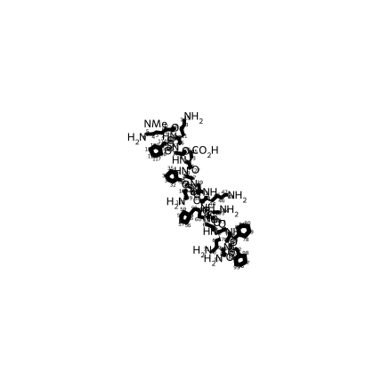 CN[C@@H](CCCCN)C(=O)N[C@@H](CCCCN)CN(CC(=O)N[C@@H](CCC(=O)O)C(=O)N[C@@H](Cc1ccccc1)CN(CC(=O)N[C@@H](CCCCN)C(=O)NC(Cc1ccccc1)CN(CC(=O)N[C@@H](CCCCN)C(=O)N[C@@H](Cc1ccccc1)CN(CC(N)=O)S(=O)(=O)Cc1ccccc1)S(=O)(=O)CCN)S(=O)(=O)CCN)S(=O)(=O)Cc1ccccc1